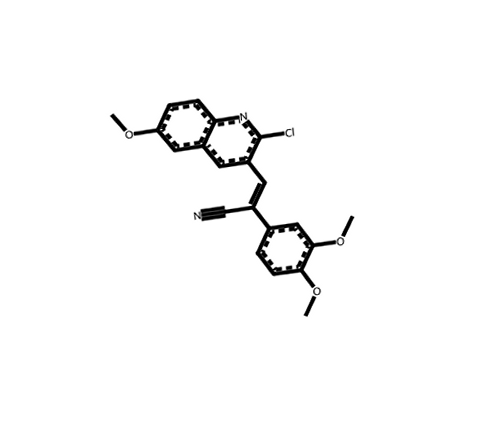 COc1ccc2nc(Cl)c(C=C(C#N)c3ccc(OC)c(OC)c3)cc2c1